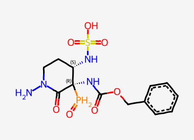 NN1CC[C@H](NS(=O)(=O)O)[C@@](NC(=O)OCc2ccccc2)([PH2]=O)C1=O